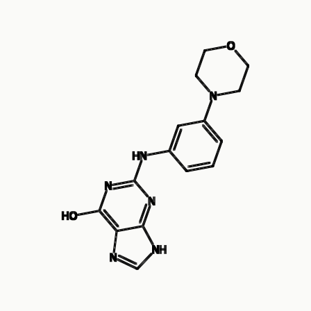 Oc1nc(Nc2cccc(N3CCOCC3)c2)nc2[nH]cnc12